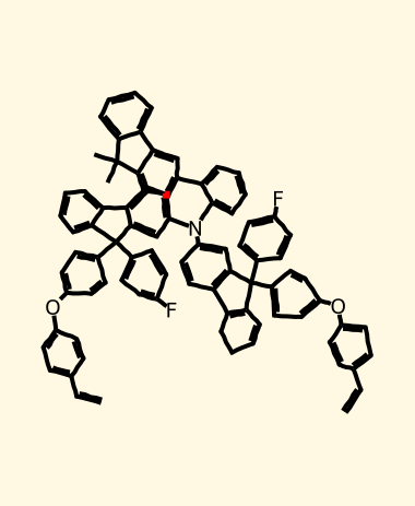 C=Cc1ccc(Oc2ccc(C3(c4ccc(F)cc4)C4=C(CCC=C4)c4ccc(N(c5ccc6c(c5)C(c5ccc(F)cc5)(c5ccc(Oc7ccc(C=C)cc7)cc5)c5ccccc5-6)c5ccccc5-c5ccc6c(c5)-c5ccccc5C6(C)C)cc43)cc2)cc1